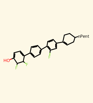 CCCCCC1CC=C(c2ccc(-c3ccc(C4=CC=C(O)C(F)C4F)cc3)c(F)c2)CC1